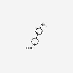 Nc1ccc(C2CCN(C=O)CC2)cc1